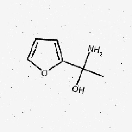 CC(N)(O)c1ccco1